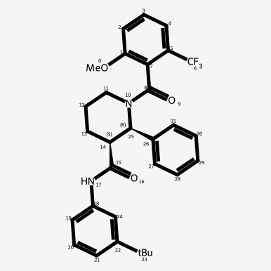 COc1cccc(C(F)(F)F)c1C(=O)N1CCC[C@H](C(=O)Nc2cccc(C(C)(C)C)c2)[C@@H]1c1ccccc1